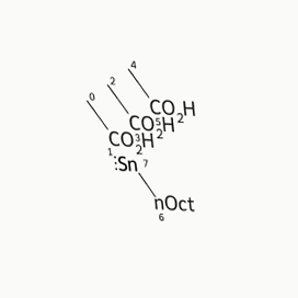 CC(=O)O.CC(=O)O.CC(=O)O.CCCCCCC[CH2][Sn]